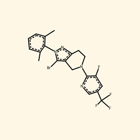 Cc1cccc(C)c1-n1nc2c(c1Br)CN(c1ncc(C(F)(F)F)cc1F)CC2